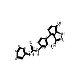 Nc1n[nH]c2c(O)ccc(-c3ccc(NC(=O)Nc4ccccc4)cc3)c12